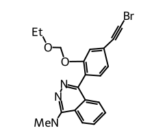 CCOCOc1cc(C#CBr)ccc1-c1nnc(NC)c2ccccc12